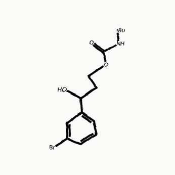 CC(C)(C)NC(=O)OCCC(O)c1cccc(Br)c1